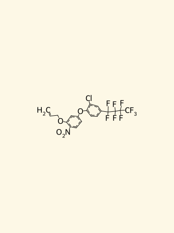 C=CCOc1cc(Oc2ccc(C(F)(F)C(F)(F)C(F)(F)C(F)(F)F)cc2Cl)ccc1[N+](=O)[O-]